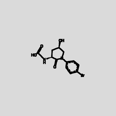 O=C(O)N[C@@H]1C[C@@H](O)CN(c2ccc(Br)cc2)C1=O